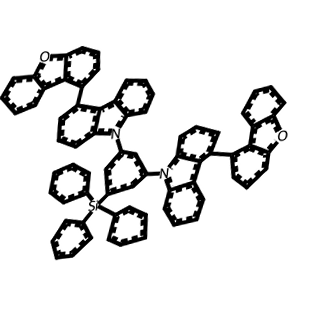 c1ccc([Si](c2ccccc2)(c2ccccc2)c2cc(-n3c4ccccc4c4c(-c5cccc6oc7ccccc7c56)cccc43)cc(-n3c4ccccc4c4c(-c5cccc6oc7ccccc7c56)cccc43)c2)cc1